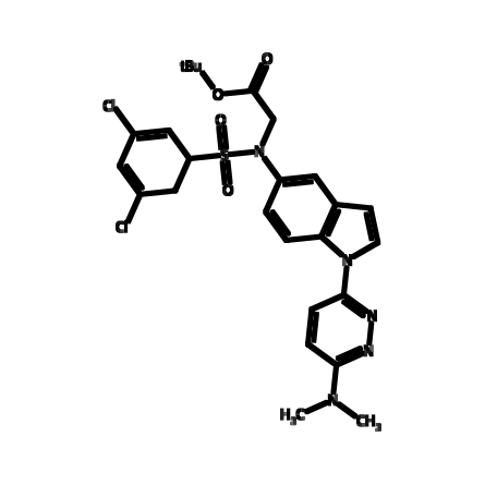 CN(C)c1ccc(-n2ccc3cc(N(CC(=O)OC(C)(C)C)S(=O)(=O)C4C=C(Cl)C=C(Cl)C4)ccc32)nn1